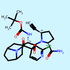 C#C[C@H]1CC[C@@H](C(N)=O)N1C(=O)[C@@H](NC(=O)OC(C)(C)C)C1CC2CCC(C1)N2C(=O)c1ccnc(F)c1